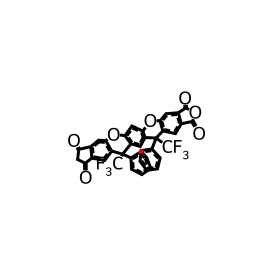 O=C1CC(=O)c2cc3c(cc21)Oc1cc2c(cc1C3(c1ccccc1)C(F)(F)F)C(c1ccccc1)(C(F)(F)F)c1cc3c(cc1O2)C(=O)OC3=O